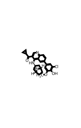 COc1cc(-c2ccc3ncc(C(=O)C4CC4)c(N[C@@H]4C[C@H]5CC[C@@H](C4)N5)c3c2)cc(Cl)c1O